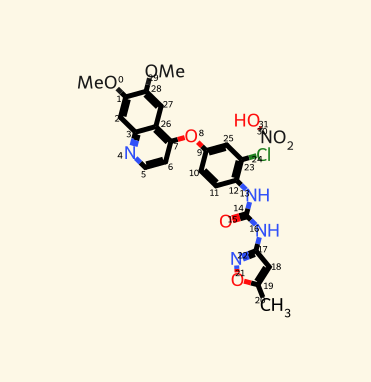 COc1cc2nccc(Oc3ccc(NC(=O)Nc4cc(C)on4)c(Cl)c3)c2cc1OC.O=[N+]([O-])O